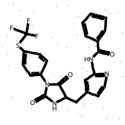 O=C(Nc1cc(CC2NC(=O)N(c3ccc(SC(F)(F)F)cc3)C2=O)ccn1)c1ccccc1